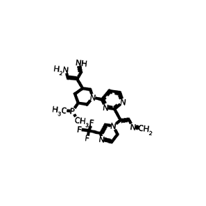 C=N/C=C(/c1nccc(N2CC(/C(C=N)=C/N)CC(P(C)C)C2)n1)N1C=C(C(F)(F)F)N=CC1